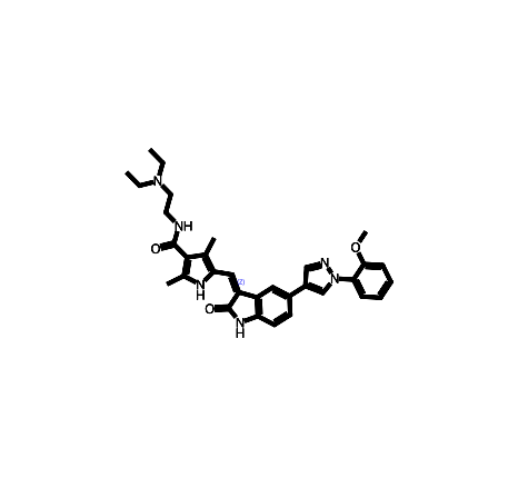 CCN(CC)CCNC(=O)c1c(C)[nH]c(/C=C2\C(=O)Nc3ccc(-c4cnn(-c5ccccc5OC)c4)cc32)c1C